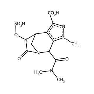 CN(C)C(=O)C1c2c(c(C(=O)O)nn2C)C2CN1C(=O)N2OS(=O)(=O)O